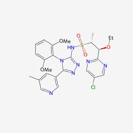 CCO[C@@H](c1ncc(Cl)cn1)[C@@H](C)S(=O)(=O)Nc1nnc(-c2cncc(C)c2)n1-c1c(OC)cccc1OC